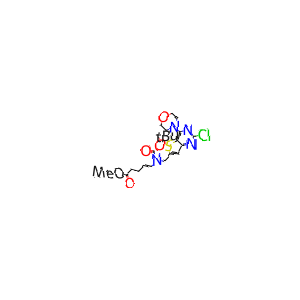 COC(=O)CCCCN(Cc1cc2nc(Cl)nc(N3CCOCC3)c2s1)C(=O)OC(C)(C)C